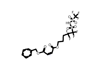 O=C(/C=C\C(=O)OCc1ccccc1)OCCCC(F)(F)C(F)(F)S(=O)(=O)NS(=O)(=O)C(F)(F)F